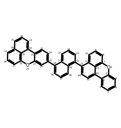 c1ccc2c(c1)Oc1cccc3c(-c4cccc5c(-c6ccc7c(c6)Oc6cccc8cccc-7c68)cccc45)ccc-2c13